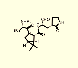 CC(=O)N[C@H](C(=O)N1C[C@H]2[C@@H]([C@H]1C(=O)N[C@H](C=O)C[C@@H]1CCNC1=O)C2(C)C)C(C)(C)C